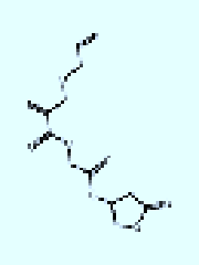 C=CCOCC(=C)C(=O)OCC(=O)OC1COC(=O)C1